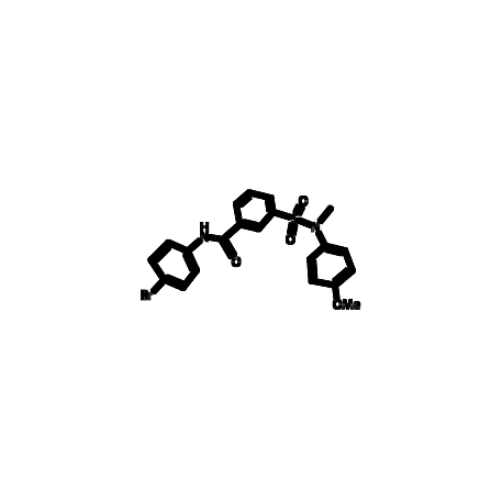 COc1ccc(N(C)S(=O)(=O)c2cccc(C(=O)Nc3ccc(Br)cc3)c2)cc1